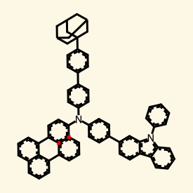 c1ccc(-c2cccc3cccc(-c4ccc(N(c5ccc(-c6ccc(C78CC9CC(CC(C9)C7)C8)cc6)cc5)c5ccc(-c6ccc7c8ccccc8n(-c8ccccc8)c7c6)cc5)cc4)c23)cc1